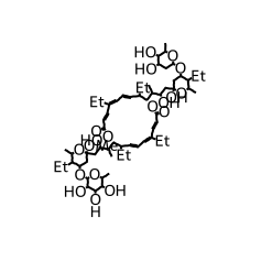 CCC1=C\C=C\C(CC)C(C(C)C(O)CC2(OC)CC(OC3OC(C)C(O)C(O)C3O)C(CC)C(C)O2)OC(=O)/C=C/C(CC)=C/C=C/C(CC)C(C(C)C(O)CC2(O)CC(OC3CC(O)C(O)C(C)O3)C(CC)C(C)O2)OC(=O)\C=C\1